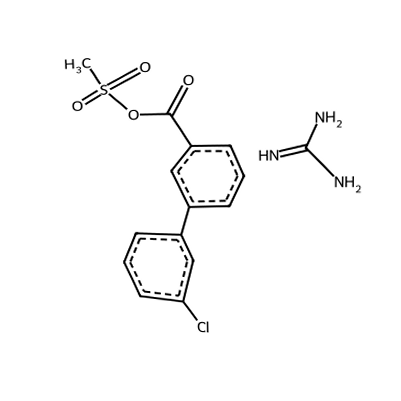 CS(=O)(=O)OC(=O)c1cccc(-c2cccc(Cl)c2)c1.N=C(N)N